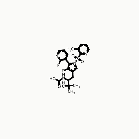 Cc1cccnc1S(=O)(=O)n1cc(CC(NC(=O)O)C(C)(C)C)c(F)c1-c1cccnc1F